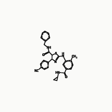 Cc1ccc(C(=O)NC2CC2)cc1NC1=NC(c2ccc(C#N)cc2)C(C(=O)NCc2ccccc2)S1